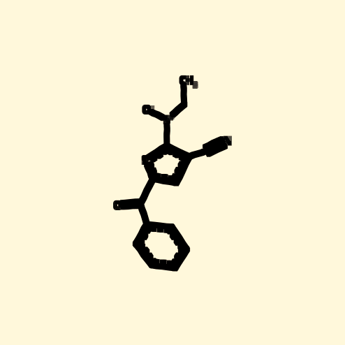 CC[S+]([O-])c1sc(C(=O)c2ccccc2)cc1C#N